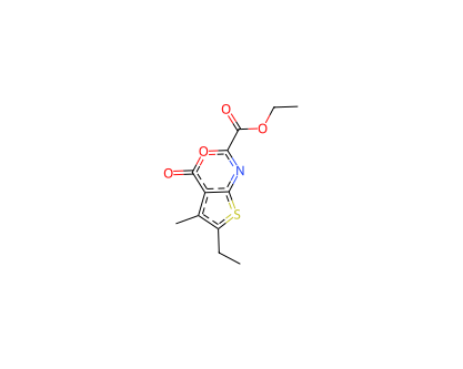 CCOC(=O)c1nc2sc(CC)c(C)c2c(=O)o1